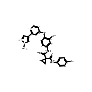 Cn1cc(-c2cc(Oc3ccc(NC(=O)C4(C(=O)Nc5ccc(F)cc5)CC4)cc3Cl)ccn2)cn1